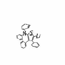 [Li][c]1sc(N(c2ccccc2)c2ccccc2)c(-c2ccccc2)c1-c1ccccc1